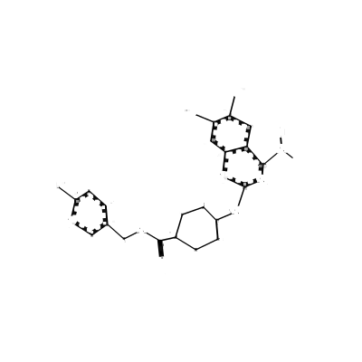 CN(C)c1nc(NC2CCC(C(=O)NCc3ccc(Cl)nc3)CC2)nc2cc(F)c(F)cc12